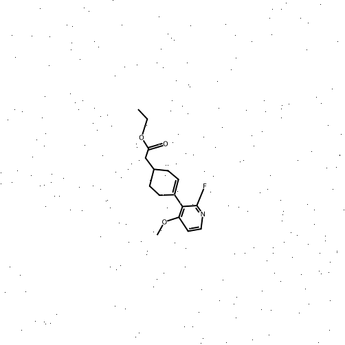 CCOC(=O)CC1CC=C(c2c(OC)ccnc2F)CC1